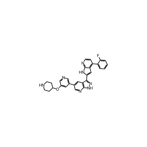 Fc1ccccc1-c1ccnc2[nH]c(-c3n[nH]c4ncc(-c5cncc(OC6CCNCC6)c5)cc34)cc12